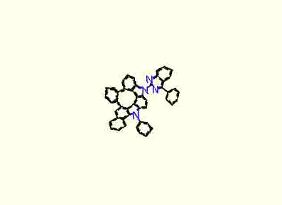 c1ccc(-c2nc(-n3c4cccc5c6ccccc6c6cc7ccccc7c7c6c6c(c54)c3ccc6n7-c3ccccc3)nc3ccccc23)cc1